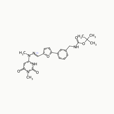 CN(/N=C/c1ccc(-c2cccc(CNC(=O)OC(C)(C)C)c2)o1)c1cc(=O)n(C)c(=O)[nH]1